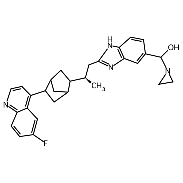 C[C@H](Cc1nc2cc(C(O)N3CC3)ccc2[nH]1)C1CC2CC1CC2c1ccnc2ccc(F)cc12